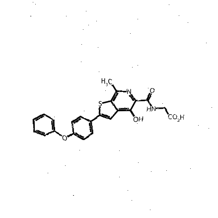 Cc1nc(C(=O)NCC(=O)O)c(O)c2cc(-c3ccc(Oc4ccccc4)cc3)sc12